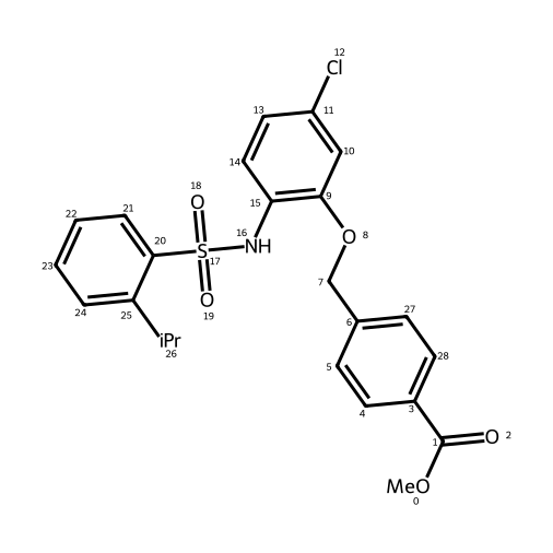 COC(=O)c1ccc(COc2cc(Cl)ccc2NS(=O)(=O)c2ccccc2C(C)C)cc1